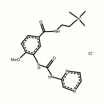 COc1ccc(C(=O)NCC[N+](C)(C)C)cc1NC(=O)Nc1cnccn1.[Cl-]